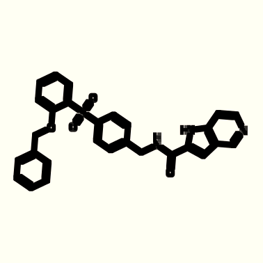 O=C(NCc1ccc(S(=O)(=O)c2ccccc2OCc2ccccc2)cc1)c1cc2cnccc2[nH]1